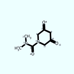 CN(C)C(=O)N1CC(=O)CC(=O)C1